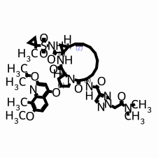 COc1ccc2c(O[C@@H]3C[C@H]4C(=O)N[C@]5(C(=O)NS(=O)(=O)C6(C)CC6)C[C@H]5/C=C\CCCCC[C@H](NC(=O)c5cnn(CC(=O)N(C)C)n5)C(=O)N4C3)cc(OC(C)C)nc2c1C